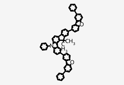 CC1(C)c2cc(-c3ccc4oc5ccc(-c6ccccc6)cc5c4c3)ccc2-c2ccc3c(c21)c1cc(-c2ccc4oc5ccc(-c6ccccc6)cc5c4c2)ccc1n3-c1ccccc1